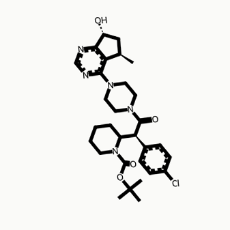 C[C@@H]1C[C@@H](O)c2ncnc(N3CCN(C(=O)[C@@H](c4ccc(Cl)cc4)C4CCCCN4C(=O)OC(C)(C)C)CC3)c21